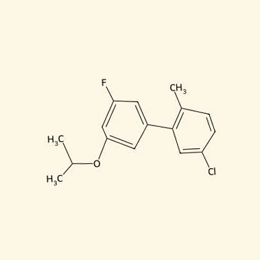 Cc1ccc(Cl)cc1-c1cc(F)cc(OC(C)C)c1